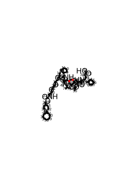 CC[C@@H](C)[C@H](NC(=O)[C@H]1CCCCN1CCOCCOCCOCCNC(=O)OCC1CCN(C2CCCCCCC2)CC1)C(=O)N(C)[C@H](CC(OC(C)=O)c1nc(C(=O)N[C@@H](Cc2ccccc2)C[C@H](C)C(=O)O)cs1)C(C)C